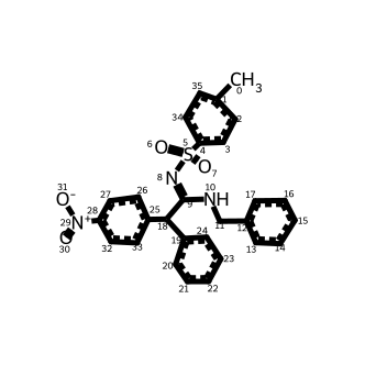 Cc1ccc(S(=O)(=O)N=C(NCc2ccccc2)C(c2ccccc2)c2ccc([N+](=O)[O-])cc2)cc1